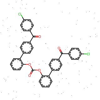 O=C(Oc1ccccc1-c1ccc(C(=O)c2ccc(Cl)cc2)cc1)Oc1ccccc1-c1ccc(C(=O)c2ccc(Cl)cc2)cc1